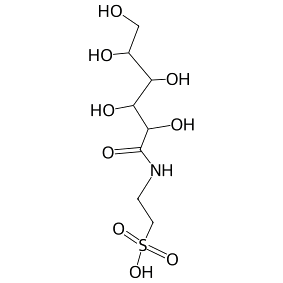 O=C(NCCS(=O)(=O)O)C(O)C(O)C(O)C(O)CO